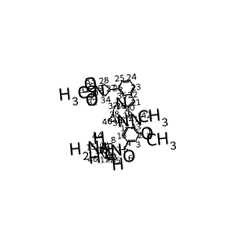 COc1cc(C(=O)N2C[C@H]3CC[C@@H]2C[C@@H]3N)cc2nc(-c3cc4cccc(C5CN(S(C)(=O)=O)C5)c4n3CC3CC3)n(C)c12